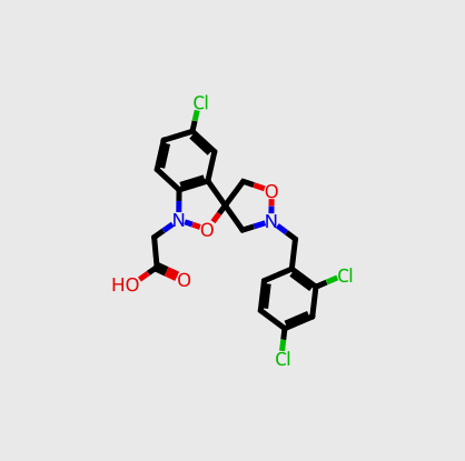 O=C(O)CN1OC2(CON(Cc3ccc(Cl)cc3Cl)C2)c2cc(Cl)ccc21